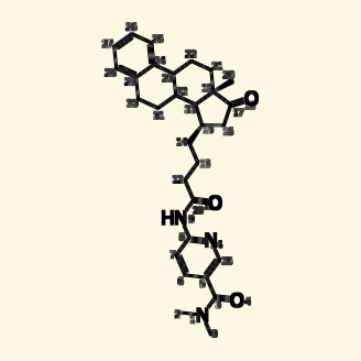 CN(C)C(=O)c1ccc(NC(=O)CCC[C@@H]2CC(=O)[C@@]3(C)CCC4c5ccccc5CCC4C23)nc1